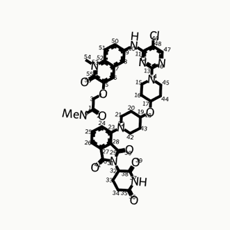 CNC(=O)COc1cc2cc(Nc3nc(N4CCC(OC5CCN(c6cccc7c6C(=O)N(C6CCC(=O)NC6=O)C7=O)CC5)CC4)ncc3Cl)ccc2n(C)c1=O